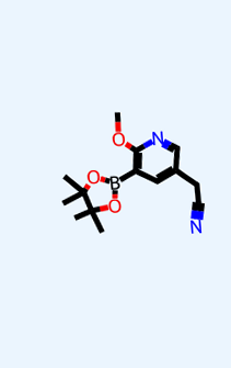 COc1ncc(CC#N)cc1B1OC(C)(C)C(C)(C)O1